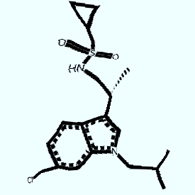 CC(C)Cn1cc([C@@H](C)NS(=O)(=O)C2CC2)c2ccc(Cl)cc21